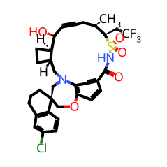 C[C@H]1C/C=C\[C@H](O)[C@@H]2CC[C@H]2CN2C[C@@]3(CCCc4cc(Cl)ccc43)COc3ccc(cc32)C(=O)NS(=O)(=O)[C@@H]1CC(F)(F)F